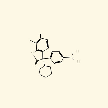 Cc1c(F)ccc2c1NC(=O)[C@]2(c1ccc(B(O)O)cc1)C1CCCCC1